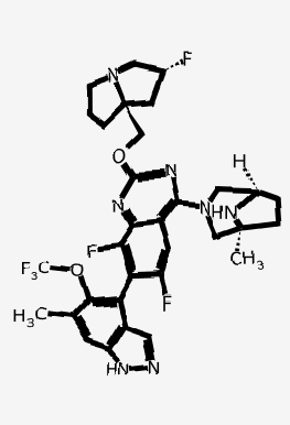 Cc1cc2[nH]ncc2c(-c2c(F)cc3c(N4C[C@H]5CC[C@@](C)(C4)N5)nc(OC[C@@]45CCCN4C[C@H](F)C5)nc3c2F)c1OC(F)(F)F